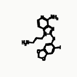 NCCCn1c(Sc2cc3c(cc2I)OCO3)nc2c(N)nccc21